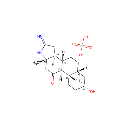 C[C@]12CC[C@@H](O)C[C@H]1CC[C@@H]1[C@@H]2C(=O)C[C@]2(C)NC(=N)C[C@@H]12.O=S(=O)(O)O